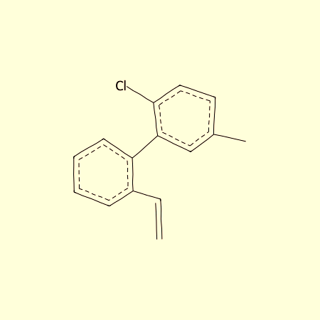 C=Cc1ccccc1-c1cc(C)ccc1Cl